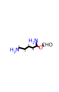 NCCCCC(N)OC=O